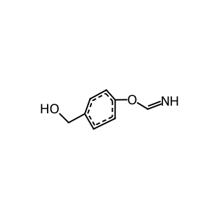 N=COc1ccc(CO)cc1